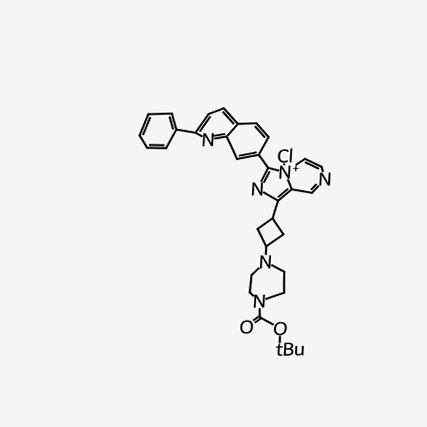 CC(C)(C)OC(=O)N1CCN(C2CC(C3=C4C=NC=C[N+]4(Cl)C(c4ccc5ccc(-c6ccccc6)nc5c4)=N3)C2)CC1